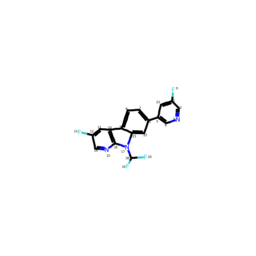 Fc1cncc(-c2ccc3c4cc(F)cnc4n(C(F)F)c3c2)c1